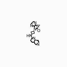 Cn1c(=O)n([C@H]2C[C@H](Nc3ccc4cnccc4n3)C2)c2nccnc21